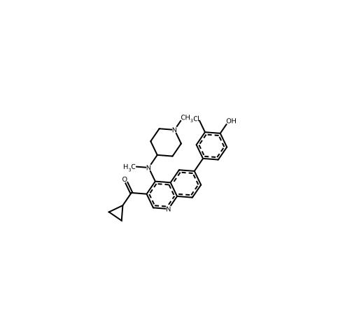 CN1CCC(N(C)c2c(C(=O)C3CC3)cnc3ccc(-c4ccc(O)c(Cl)c4)cc23)CC1